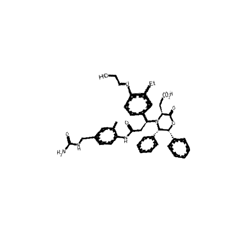 CCc1cc([C@H](CC(=O)Nc2ccc(CNC(N)=O)cc2C)N2[C@@H](CC(=O)O)C(=O)O[C@H](c3ccccc3)[C@@H]2c2ccccc2)ccc1OCCO